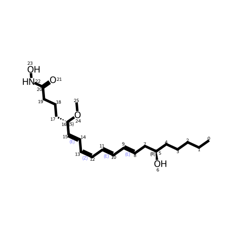 CCCCC[C@@H](O)C/C=C/C=C/C=C\C=C\[C@H](CCCC(=O)NO)OC